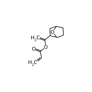 C=CC(=O)OC(=C)C1CC2CCC1O2